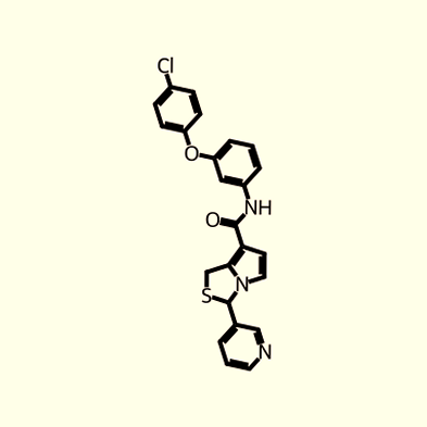 O=C(Nc1cccc(Oc2ccc(Cl)cc2)c1)c1ccn2c1CSC2c1cccnc1